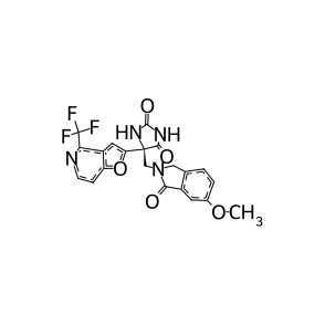 COc1ccc2c(c1)C(=O)N(C[C@@]1(c3cc4c(C(F)(F)F)nccc4o3)NC(=O)NC1=O)C2